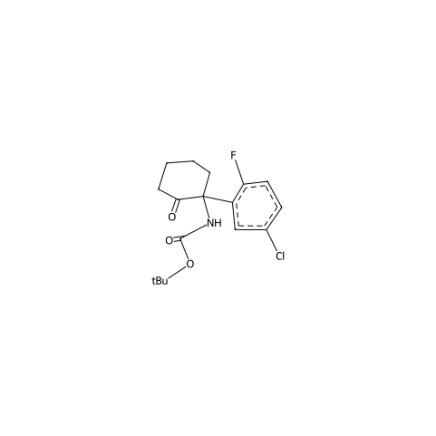 CC(C)(C)OC(=O)NC1(c2cc(Cl)ccc2F)CCCCC1=O